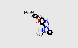 CNC1CCC(Oc2cc3c(N[C@H](C)c4ccccc4)ncnc3cc2OC)CC1